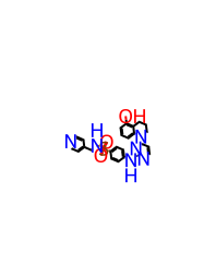 O=S(=O)(NCc1ccncc1)c1ccc(Nc2nccc(N3CCCc4c(O)cccc43)n2)cc1